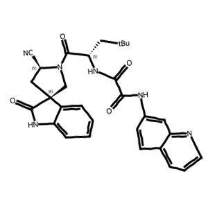 CC(C)(C)C[C@H](NC(=O)C(=O)Nc1ccc2cccnc2c1)C(=O)N1C[C@]2(C[C@H]1C#N)C(=O)Nc1ccccc12